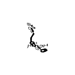 CN(C(=O)COCC=C1C[C@H]2C[C@@H](O)[C@H](C=C[C@@H](O)C3CCCC3)[C@H]2C1)C(C)(C)C